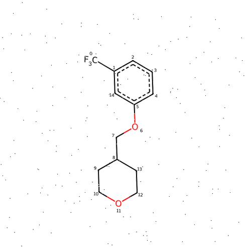 FC(F)(F)c1c[c]cc(OCC2CCOCC2)c1